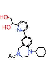 CC(=O)N1CCN(C2CCCCC2)c2ccc(-c3cccc(C(O)CO)n3)cc2C1